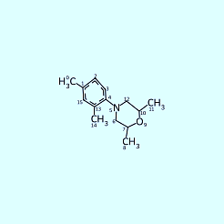 Cc1ccc(N2CC(C)OC(C)C2)c(C)c1